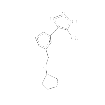 N#Cc1[nH]nnc1-c1cccc(COC2CCCC2)c1